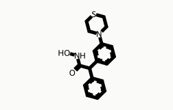 O=C(NO)C(c1ccccc1)c1cccc(N2CCSCC2)c1